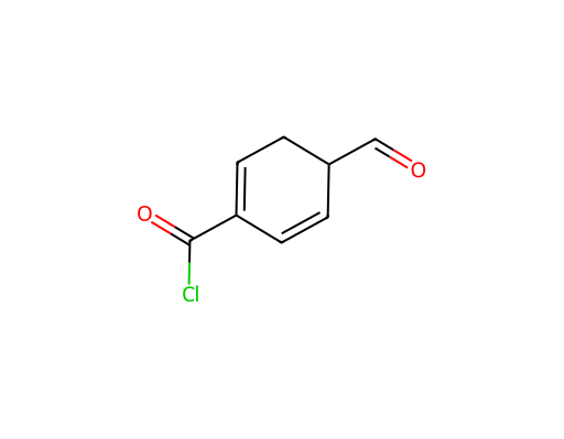 O=CC1C=CC(C(=O)Cl)=CC1